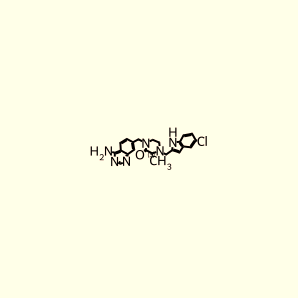 C[C@H]1C(=O)N(Cc2ccc3c(N)ncnc3c2)CCN1Cc1cc2cc(Cl)ccc2[nH]1